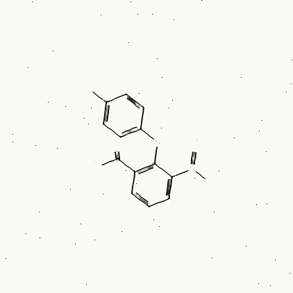 Bc1ccc(Nc2c(C(=O)O)cccc2[N+](=O)[O-])cc1